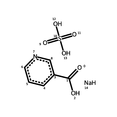 O=C(O)c1cccnc1.O=S(=O)(O)O.[NaH]